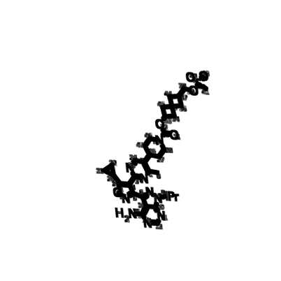 Cc1nc(-c2c(-c3nn(C(C)C)c4ncnc(N)c34)noc2C2CC2)ncc1C1CCN(C(=O)OC2CC3(CC(COS(C)(=O)=O)C3)C2)CC1